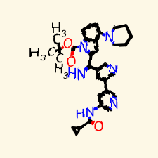 CC(C)(C)OC(=O)n1c(C(=N)c2cncc(-c3cncc(NC(=O)C4CC4)c3)c2)cc2c(N3CCCCC3)cccc21